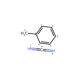 Cc1ccccc1.N=C=N